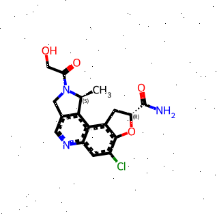 C[C@H]1c2c(cnc3cc(Cl)c4c(c23)C[C@H](C(N)=O)O4)CN1C(=O)CO